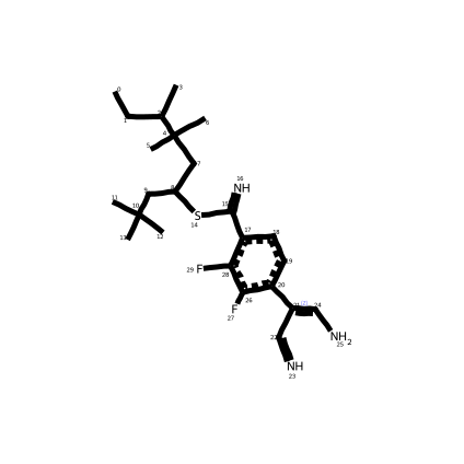 CCC(C)C(C)(C)CC(CC(C)(C)C)SC(=N)c1ccc(/C(C=N)=C/N)c(F)c1F